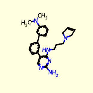 CN(C)c1cccc(-c2cccc(-c3cnc(N)nc3NCCCN3CC=CC3)c2)c1